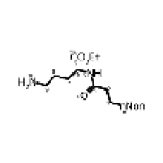 CCCCCCCCCCCC(=O)N[C@H](CCCN)C(=O)OCC